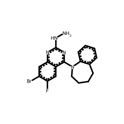 NNc1nc(N2CCCCc3ccccc32)c2cc(F)c(Br)cc2n1